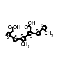 Cc1ccsc1-c1ccc(-c2sc(-c3cc(C)c(-c4ccc(-c5sccc5CC(=O)O)s4)s3)cc2CC(=O)O)s1